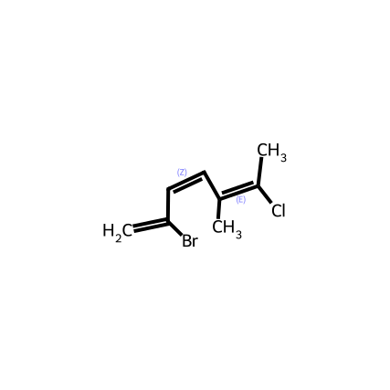 C=C(Br)/C=C\C(C)=C(/C)Cl